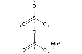 O=S([O-])[O-].O=S([O-])[O-].[Mo+4]